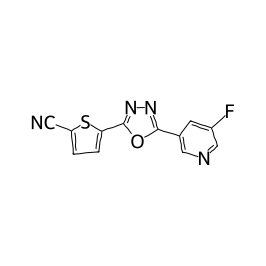 N#Cc1ccc(-c2nnc(-c3cncc(F)c3)o2)s1